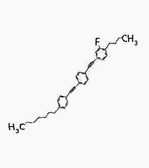 CCCCCCCc1ccc(C#Cc2ccc(C#Cc3ccc(CCCC)c(F)c3)cc2)cc1